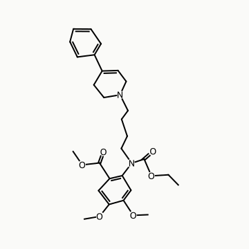 CCOC(=O)N(CCCCN1CC=C(c2ccccc2)CC1)c1cc(OC)c(OC)cc1C(=O)OC